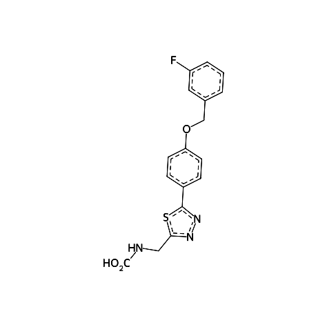 O=C(O)NCc1nnc(-c2ccc(OCc3cccc(F)c3)cc2)s1